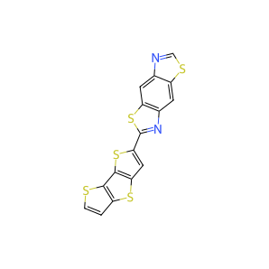 c1nc2cc3sc(-c4cc5sc6ccsc6c5s4)nc3cc2s1